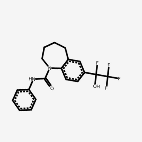 O=C(Nc1ccccc1)N1CCCCc2cc(C(O)(F)C(F)(F)F)ccc21